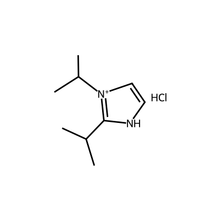 CC(C)c1[nH]cc[n+]1C(C)C.Cl